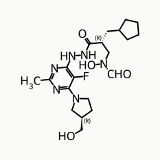 Cc1nc(NNC(=O)[C@H](CC2CCCC2)CN(O)C=O)c(F)c(N2CC[C@@H](CO)C2)n1